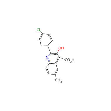 Cc1ccc2nc(-c3ccc(Cl)cc3)c(O)c(C(=O)O)c2c1